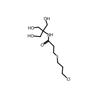 O=C(CCSCCCCl)NC(CO)(CO)CO